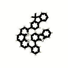 CC1(C)c2ccccc2-c2ccc(-c3ccc4ccc5ccc(-c6ccccc6-c6cccc7c6oc6ccccc67)nc5c4n3)cc21